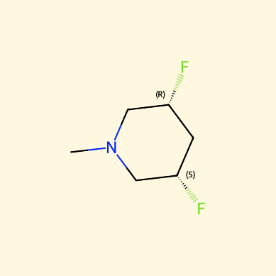 CN1C[C@H](F)C[C@H](F)C1